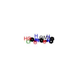 COc1cc(OCCNC2CCCc3ccccc32)ccc1/C=N/NC(=O)c1ccc(O)c(Cl)c1